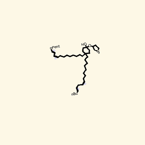 CCCC/C=C/C/C=C\CCCCCCCCC1(CCCCCCCC/C=C\C=C\CCCCC)CCC(O)(OC2CCN(C)C2)CC1